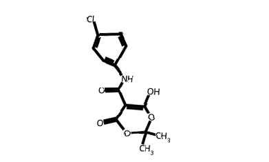 CC1(C)OC(=O)C(C(=O)Nc2ccc(Cl)cc2)=C(O)O1